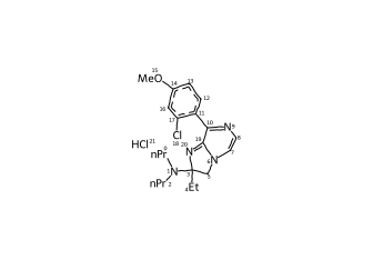 CCCN(CCC)C1(CC)CN2C=CN=C(c3ccc(OC)cc3Cl)C2=N1.Cl